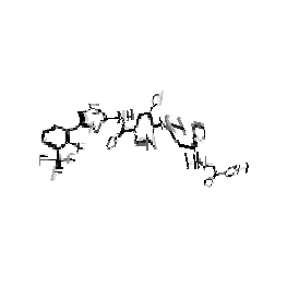 O=C(O)CNC(=O)CNc1ncc(C(=O)Nc2nc(-c3cccc(C(F)(F)F)c3F)cs2)cc1Cl